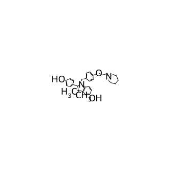 CC1(C)c2cc(O)ccc2N(Cc2ccc(OCCN3CCCCCC3)cc2)C1c1ccc(O)cc1